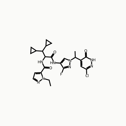 CCn1nccc1C(=O)NC(C(=O)Nc1cn(C(C)c2cc(Cl)n[nH]c2=O)nc1F)C(C1CC1)C1CC1